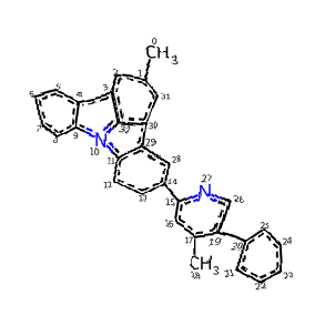 Cc1cc2c3ccccc3n3c4ccc(-c5cc(C)c(-c6ccccc6)cn5)cc4c(c1)c23